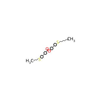 CCCCCCCCSc1ccc(-c2ccc(OC(=O)c3ccc(-c4ccc(SCCCCC)cc4)cc3)cc2)cc1